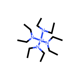 CCN(CC)[N+](N(CC)CC)(N(CC)CC)N(CC)CC